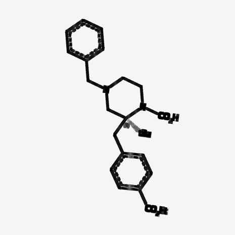 CCOC(=O)c1ccc(C[C@@]2(C(C)(C)C)CN(Cc3ccccc3)CCN2C(=O)O)cc1